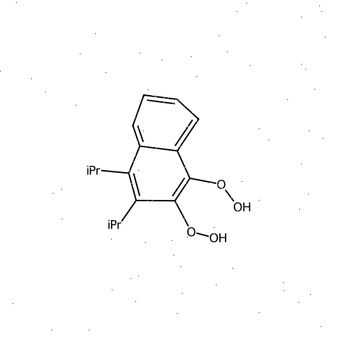 CC(C)c1c(OO)c(OO)c2ccccc2c1C(C)C